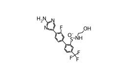 Nc1ncc(-c2ccc(-c3ccc(C(F)(F)F)cc3[S+]([O-])NCCO)cc2F)cn1